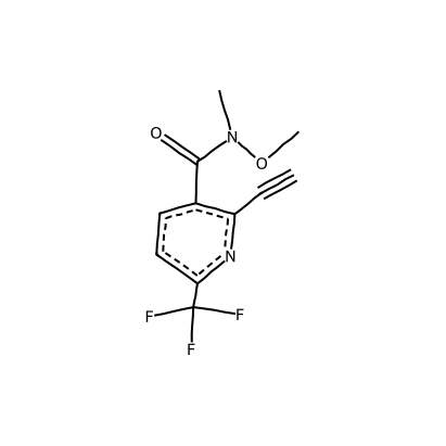 C#Cc1nc(C(F)(F)F)ccc1C(=O)N(C)OC